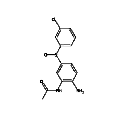 CC(=O)Nc1cc([S+]([O-])c2cccc(Cl)c2)ccc1N